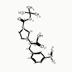 CC(C)(C)OC(=O)N1CC[C@H]([C@H](Cc2cccc([N+](=O)[O-])c2)C(=O)O)C1